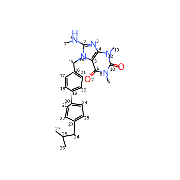 CNc1nc2c(c(=O)n(C)c(=O)n2C)n1Cc1ccc(-c2ccc(CC(C)C)cc2)cc1